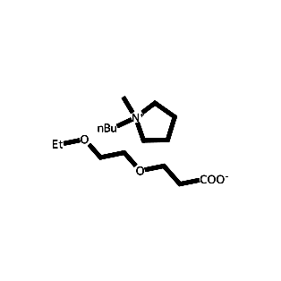 CCCC[N+]1(C)CCCC1.CCOCCOCCC(=O)[O-]